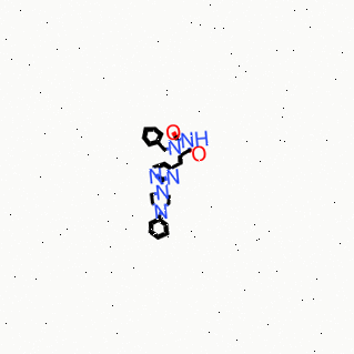 O=C1NC(=O)N(Cc2ccccc2)/C1=C\c1ccnc(N2CCN(c3ccccc3)CC2)n1